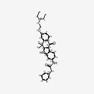 CCN(CC)CCOc1ccc2c(c1)C(C)(C)c1[nH]c3cc(NC(=O)Cc4ccccc4)ccc3c1C2=O